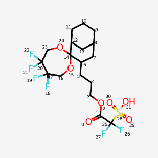 O=C(OCCCC1CC2CCCC(C2)C12OCC(F)(F)C(F)(F)CO2)C(F)(F)S(=O)(=O)O